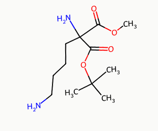 COC(=O)C(N)(CCCCN)C(=O)OC(C)(C)C